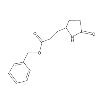 O=C1CCC(CCC(=O)OCc2ccccc2)N1